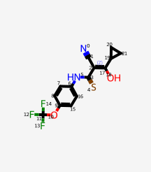 N#C/C(C(=S)Nc1ccc(OC(F)(F)F)cc1)=C(/O)C1CC1